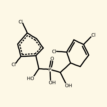 O=P(O)(C(O)c1ccc(Cl)cc1Cl)C(O)C1CC=C(Cl)C=C1Cl